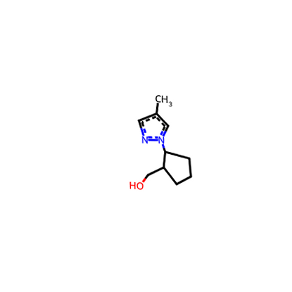 Cc1cnn(C2CCCC2CO)c1